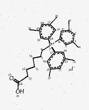 Cc1cc(C)cc([P+](CCCCCCC(=O)O)(c2cc(C)cc(C)c2)c2cc(C)cc(C)c2)c1.[I-]